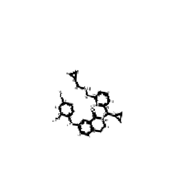 O=C1c2cc(Oc3ccc(F)cc3F)ccc2CCN1C(c1cccc(CNCC2CC2)n1)C1CC1